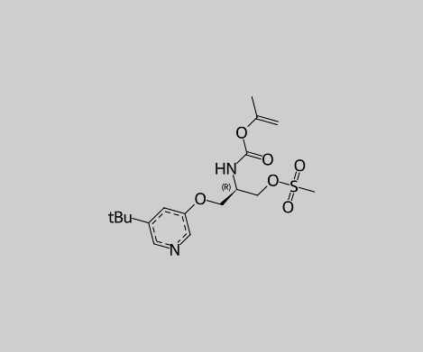 C=C(C)OC(=O)N[C@H](COc1cncc(C(C)(C)C)c1)COS(C)(=O)=O